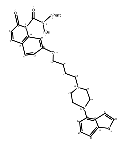 CCCCCN(CCCC)C(=O)n1c(=O)ccc2ccc(OCCCCN3CCN(c4cccc5sccc45)CC3)cc21